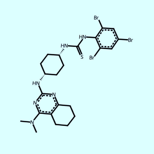 CN(C)c1nc(N[C@H]2CC[C@@H](NC(=S)Nc3c(Br)cc(Br)cc3Br)CC2)nc2c1CCCC2